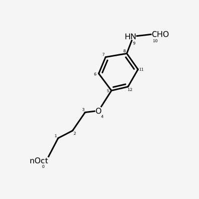 CCCCCCCCCCCOc1ccc(NC=O)cc1